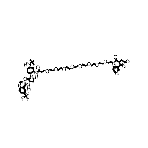 CN1C(=O)CC(C(=O)NCCOCCOCCOCCOCCOCCOCCOCCOCCC(=O)N[C@@H]2C[C@H](NC(C)(C)C)CC[C@@H]2N2CC[C@H](Nc3ncnc4ccc(C(F)(F)F)cc34)C2=O)C1c1cccnc1